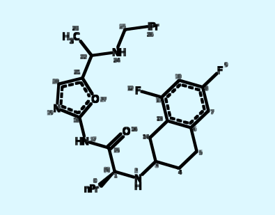 CCC[C@H](NC1CCc2cc(F)cc(F)c2C1)C(=O)Nc1ncc(C(C)NCC(C)C)o1